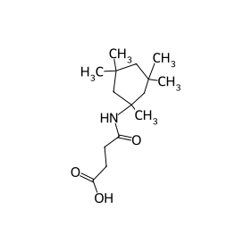 CC1(C)CC(C)(C)CC(C)(NC(=O)CCC(=O)O)C1